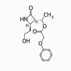 CC(OC(=O)COc1ccccc1)[C@H]1C(=O)N[C@@H]1CCO